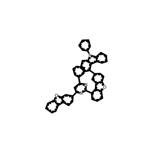 c1ccc(-c2cc(-c3ccc4c(c3)oc3ccccc34)nc(-c3cccc4oc5ccc(-c6cccc7c6c6ccccc6n7-c6ccccc6)cc5c34)n2)cc1